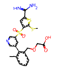 CSc1sc(C(=N)N)cc1S(=O)(=O)c1cncc(-c2c(C)cccc2COCC(=O)O)c1